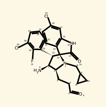 N[C@@H]1[C@H](CCC=O)N(CC2CC2)[C@@]2(C(=O)Nc3cc(Cl)ccc32)[C@H]1c1cccc(Cl)c1F